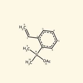 C=Cc1ccccc1[Si](C)(C)OC(C)=O